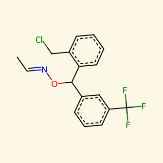 CC=NOC(c1cccc(C(F)(F)F)c1)c1ccccc1CCl